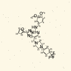 COc1ccc(CNc2ncc(CN3CCN(c4ccc(C(F)(F)F)cc4)CC3)c3nc(-c4ccco4)nn23)cc1OC